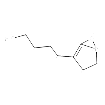 CCCCCC1=C2OP2CC1